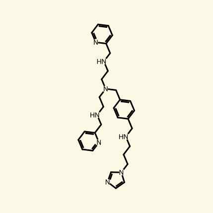 c1ccc(CNCCN(CCNCc2ccccn2)Cc2ccc(CNCCCn3ccnc3)cc2)nc1